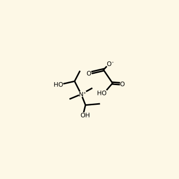 CC(O)[N+](C)(C)C(C)O.O=C([O-])C(=O)O